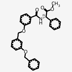 COC(=O)[C@@H](NC(=O)c1cccc(OCc2cccc(OCc3ccccc3)c2)c1)c1ccccc1